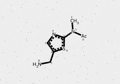 CC(=O)N(C)c1ncc(CN)s1